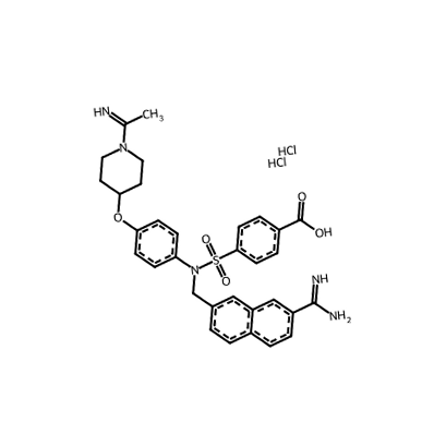 CC(=N)N1CCC(Oc2ccc(N(Cc3ccc4ccc(C(=N)N)cc4c3)S(=O)(=O)c3ccc(C(=O)O)cc3)cc2)CC1.Cl.Cl